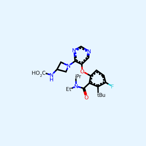 CCN(C(=O)c1c(Oc2cncnc2N2CC(NC(=O)O)C2)ccc(F)c1C(C)(C)C)C(C)C